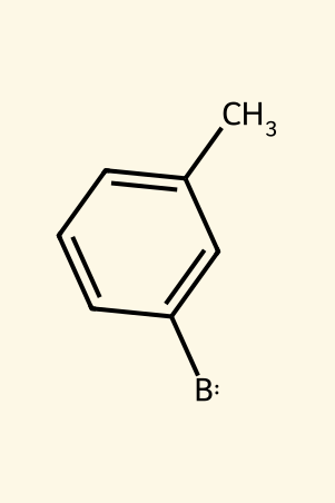 [B]c1cccc(C)c1